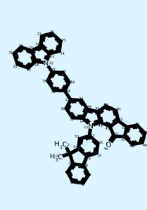 CC1(C)c2ccccc2-c2ccc(-n3c4ccc(-c5ccc(-n6c7ccccc7c7ccccc76)cc5)cc4c4ccc5c(c43)C(=O)c3ccccc3-5)cc21